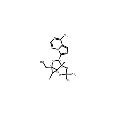 CC1(C)O[C@H]2[C@H](c3ccc4c(N)ncnn34)O[C@@]3(CO)C(F)[C@]23O1